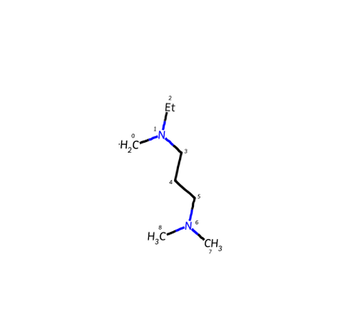 [CH2]N(CC)CCCN(C)C